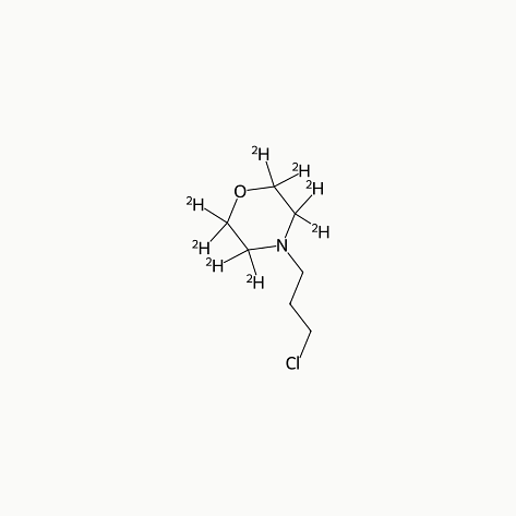 [2H]C1([2H])OC([2H])([2H])C([2H])([2H])N(CCCCl)C1([2H])[2H]